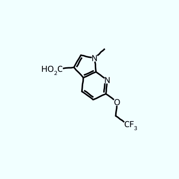 Cn1cc(C(=O)O)c2ccc(OCC(F)(F)F)nc21